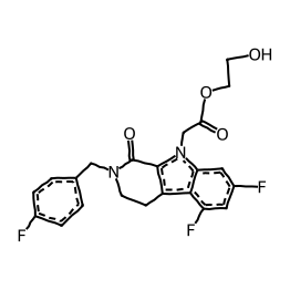 O=C(Cn1c2c(c3c(F)cc(F)cc31)CCN(Cc1ccc(F)cc1)C2=O)OCCO